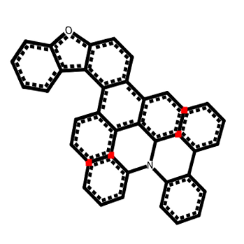 c1ccc(-c2ccccc2N(c2ccccc2)c2cccc3c4ccc5oc6ccccc6c5c4c4ccccc4c23)cc1